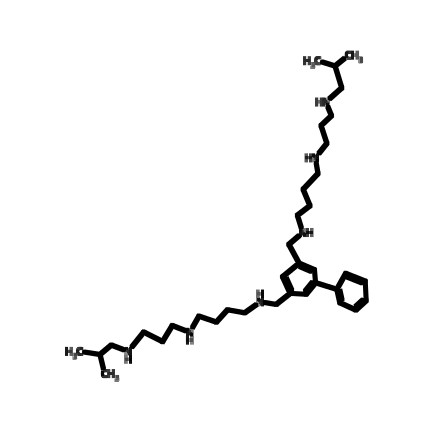 CC(C)CNCCCNCCCCNCc1cc(CNCCCCNCCCNCC(C)C)cc(-c2ccccc2)c1